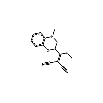 COC(=C(C#N)C#N)C1CN(C)c2ccccc2O1